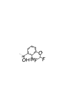 C[C@@H](O)c1cccc(OC(F)F)c1Br